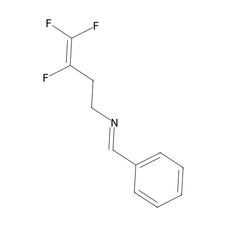 FC(F)=C(F)CC/N=C/c1ccccc1